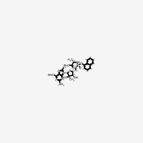 COc1nc(N)nc2c1nc(I)n2[C@@H]1O[C@H](COP(=O)(N[C@@H](C)C(=O)OCC(C)C)Oc2cccc3ccccc23)[C@@H](O)[C@@]1(C)O